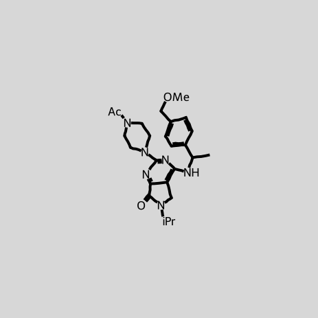 COCc1ccc(C(C)Nc2nc(N3CCN(C(C)=O)CC3)nc3c2CN(C(C)C)C3=O)cc1